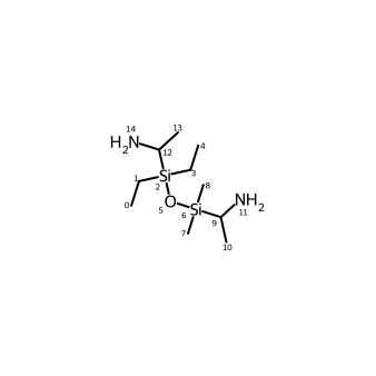 CC[Si](CC)(O[Si](C)(C)C(C)N)C(C)N